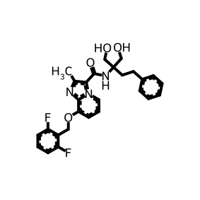 Cc1nc2c(OCc3c(F)cccc3F)cccn2c1C(=O)NC(CO)(CO)CCc1ccccc1